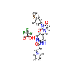 CC1(C)C(=O)N(c2ccc(SC(F)(F)F)cc2)C(=O)N1Cc1ccnc(NC(=O)CCN2CCCCC2)c1.O=C(O)C(F)(F)F